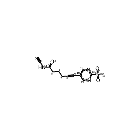 C#CNC(=O)CCCC#Cc1cnc(S(C)(=O)=O)nc1